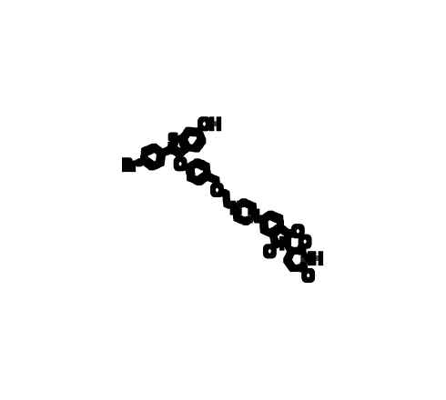 O=C1CCC(N2C(=O)c3ccc(N4CCN(CCOCc5ccc(Oc6c(-c7ccc(Br)cc7)sc7cc(O)ccc67)cc5)CC4)cc3C2=O)C(=O)N1